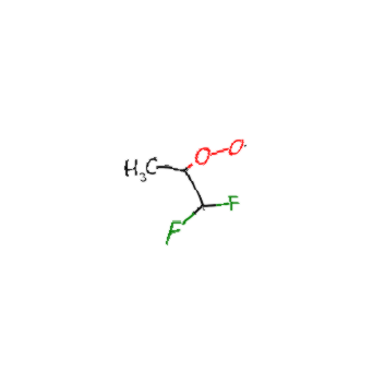 CC(O[O])[C](F)F